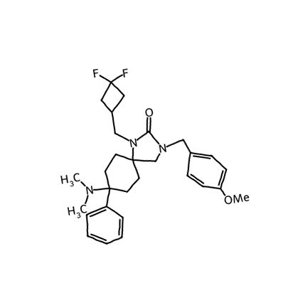 COc1ccc(CN2CC3(CCC(c4ccccc4)(N(C)C)CC3)N(CC3CC(F)(F)C3)C2=O)cc1